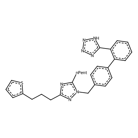 CCCCCc1nc(CCCc2cccs2)nn1Cc1ccc(-c2ccccc2-c2nnn[nH]2)cc1